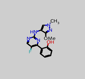 COc1nn(C)cc1Nc1ncc(F)c(-c2ccccc2O)n1